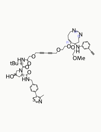 C#Cc1cccc(NC2(OCCOC)C/C=N/C=N\CC/C=C\2OCCOCC#CC#CCOCC(=O)N[C@H](C(=O)N2C[C@H](O)C[C@H]2C(=O)NCc2ccc(-c3scnc3C)cc2)C(C)(C)C)c1